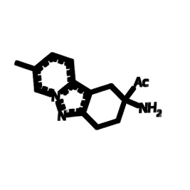 CC(=O)C1(N)CCc2nn3cc(C)ccc3c2C1